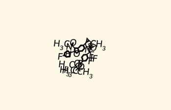 CNC(=O)c1c(-c2ccc(F)cc2)oc2cc(N(Cc3ccc(B4OC(C)(C)C(C)(C)O4)cc3C(F)(F)F)S(C)(=O)=O)c(C3CC3)cc12